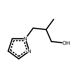 CC(CO)Cn1cccn1